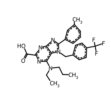 CCCN(CC)c1nc(C(=O)O)nc2nc(-c3cccc(C)c3)n(Cc3ccc(C(F)(F)F)cc3)c12